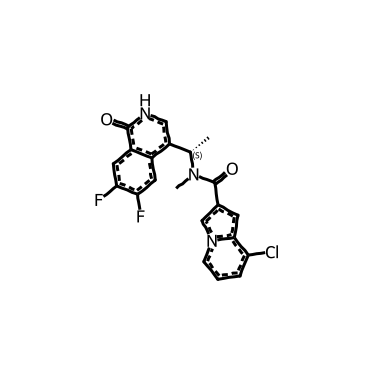 C[C@@H](c1c[nH]c(=O)c2cc(F)c(F)cc12)N(C)C(=O)c1cc2c(Cl)cccn2c1